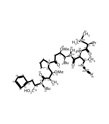 CC[C@H](C)[C@@H]([C@@H](CC(=O)N1CCC[C@H]1[C@H](OC)[C@@H](C)C(=O)N([C@@H](Cc1ccccc1)C(=O)O)C(C)(C)C)OC)N(C)C(=O)[C@@H](NC(=O)[C@H](C(C)C)N(C)C)[C@H](C)N=[N+]=[N-]